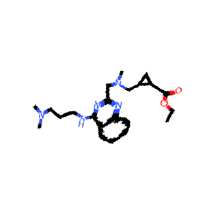 CCOC(=O)C1CC1CN(C)Cc1nc(NCCCN(C)C)c2ccccc2n1